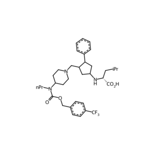 CCCN(C(=O)OCc1ccc(C(F)(F)F)cc1)C1CCN(CC2CC(N[C@H](CC(C)C)C(=O)O)CC2c2ccccc2)CC1